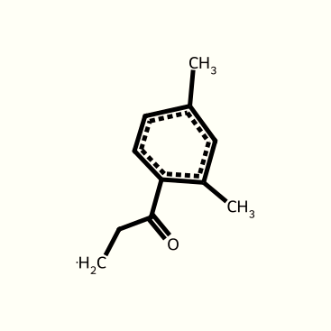 [CH2]CC(=O)c1ccc(C)cc1C